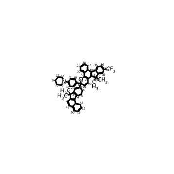 CC1(C)C2=C(CCC(C3(c4ccc(N5CCCCC5)cc4)C=Cc4c5c(c6ccccc6c4O3)-c3ccc(C(F)(F)F)cc3C5(C)C)=C2)c2c1ccc1ccccc21